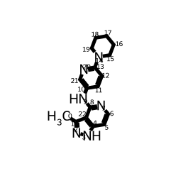 Cc1n[nH]c2ccnc(Nc3ccc(N4CCCCC4)nc3)c12